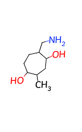 CC1CC(O)C(CN)CCC1O